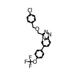 FC(F)(F)Oc1ccc(-c2ccc3nnc(COCc4ccc(Cl)cc4)n3c2)cc1